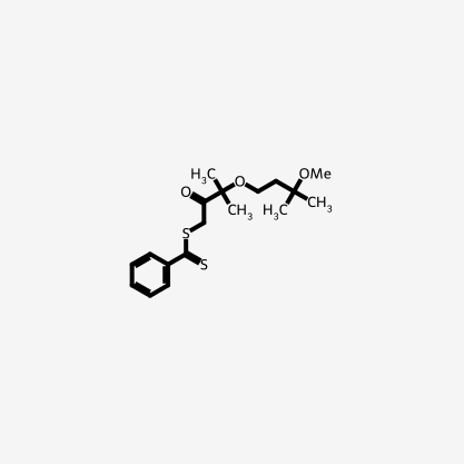 COC(C)(C)CCOC(C)(C)C(=O)CSC(=S)c1ccccc1